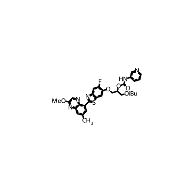 COc1cnc2c(-c3nc4cc(F)c(OCC(COCC(C)C)OC(=O)Nc5cccnc5)cc4s3)cc(C)cc2n1